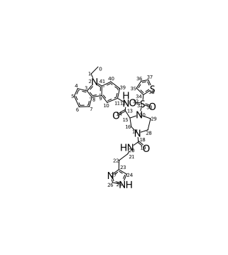 CCn1c2ccccc2c2cc(NC(=O)C3CN(C(=O)NCCc4c[nH]cn4)CCN3S(=O)(=O)c3cccs3)ccc21